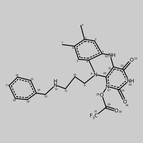 Cc1cc2c(cc1C)N(CCCNCc1ccccc1)c1c(c(=O)[nH]c(=O)n1OC(=O)C(F)(F)F)N2